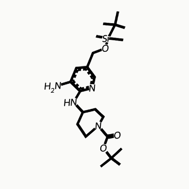 CC(C)(C)OC(=O)N1CCC(Nc2ncc(CO[Si](C)(C)C(C)(C)C)cc2N)CC1